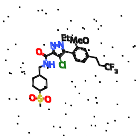 CCn1nc(C(=O)NCC2CCC(S(C)(=O)=O)CC2)c(Cl)c1-c1ccc(CCC(F)(F)F)cc1OC